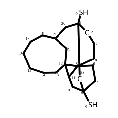 SC12CCCC34CCC(S)(CC3C43CCCCCCC(C1)C3)C2